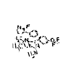 CC1(C)CN2C(N)=NC(c3ccc(OC(F)(F)F)cc3)(c3cccc(-c4cccnc4F)c3)C2=N1